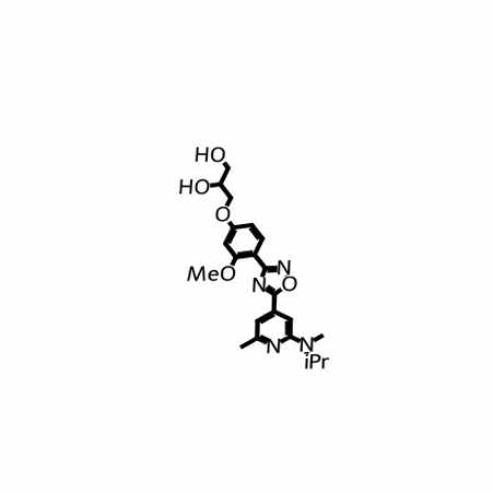 COc1cc(OCC(O)CO)ccc1-c1noc(-c2cc(C)nc(N(C)C(C)C)c2)n1